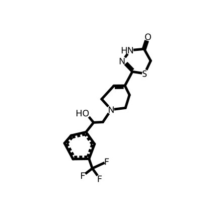 O=C1CSC(C2=CCN(CC(O)c3cccc(C(F)(F)F)c3)CC2)=NN1